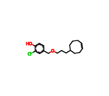 Oc1ccc(COCCCC2CCC=CCCC2)cc1Cl